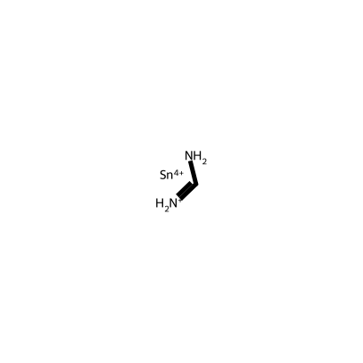 NC=[NH2+].[Sn+4]